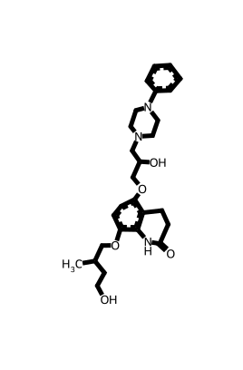 CC(CCO)COc1ccc(OCC(O)CN2CCN(c3ccccc3)CC2)c2c1NC(=O)CC2